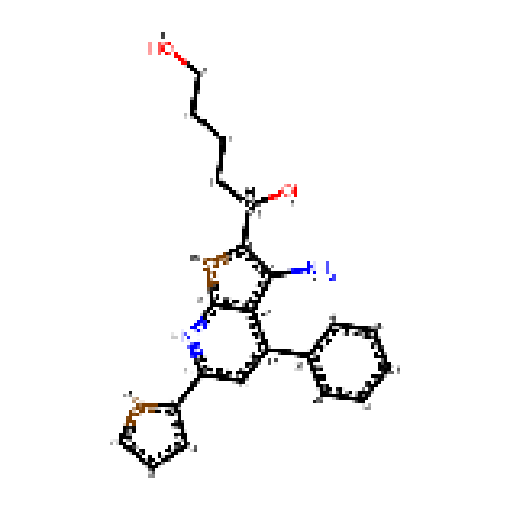 Nc1c([SiH](O)CCCCO)sc2nc(-c3cccs3)cc(-c3ccccc3)c12